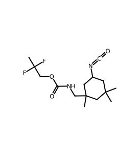 CC(F)(F)COC(=O)NCC1(C)CC(N=C=O)CC(C)(C)C1